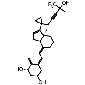 C=C1/C(=C\C=C2/CCC[C@]3(C)C(C4(CC#CC(C)(O)C(F)(F)F)CC4)=CCC23)CC(O)C[C@@H]1O